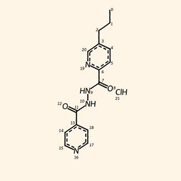 CCCc1ccc(C(=O)NNC(=O)c2ccncc2)nc1.Cl